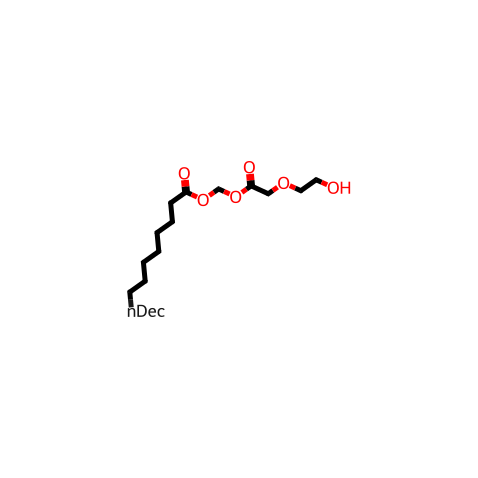 CCCCCCCCCCCCCCCCCC(=O)OCOC(=O)COCCO